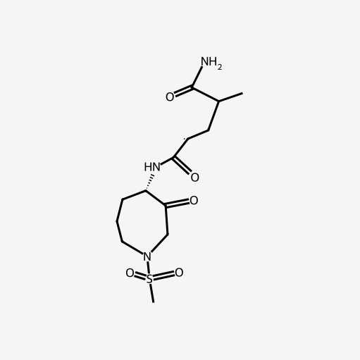 CC(C[CH]C(=O)N[C@H]1CCCN(S(C)(=O)=O)CC1=O)C(N)=O